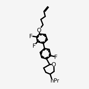 C=CCCCOc1ccc(-c2ccc(C3CCC(CCC)CO3)c(F)c2)c(F)c1F